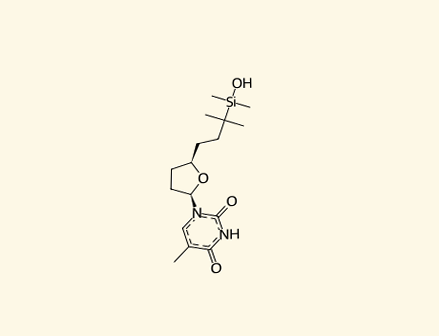 Cc1cn([C@H]2CC[C@@H](CCC(C)(C)[Si](C)(C)O)O2)c(=O)[nH]c1=O